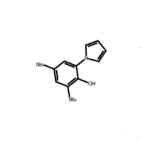 CC(C)(C)c1cc(-n2cccc2)c(O)c(C(C)(C)C)c1